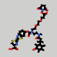 C=C1C(C)=C(C)C(=O)C(C)=C1C(C)(C)CC(=O)N(C)CCN(CCOCCOCCC(=O)ON1C(=O)CCC1=O)C(=O)Oc1ccc2nc(C3=N[C@@H](C(=O)O)CS3)sc2c1